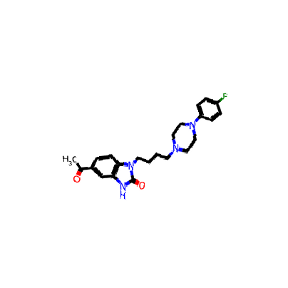 CC(=O)c1ccc2c(c1)[nH]c(=O)n2CCCCN1CCN(c2ccc(F)cc2)CC1